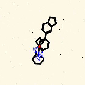 C1=Cc2cc(-c3ccc4c(c3)nc3n4C4CCC3CN(C3CCC3)C4)ccc2C1